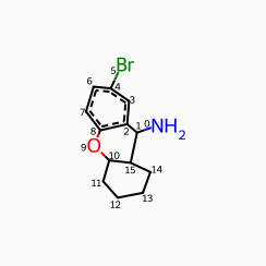 NC1c2cc(Br)ccc2OC2CCCCC21